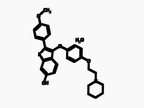 COc1ccc(-c2sc3cc(O)ccc3c2Oc2ccc(OCCN3CCCCC3)cc2)cc1.O